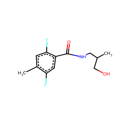 Cc1cc(F)c(C(=O)NCC(C)CO)cc1F